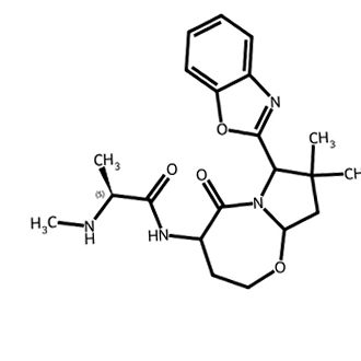 CN[C@@H](C)C(=O)NC1CCOC2CC(C)(C)C(c3nc4ccccc4o3)N2C1=O